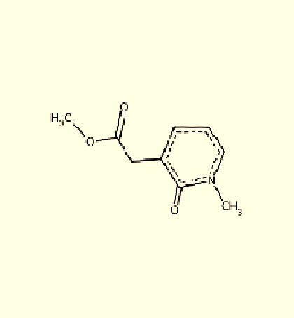 COC(=O)Cc1cccn(C)c1=O